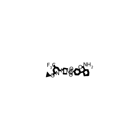 NC(=O)c1ccccc1-c1ccc(S(=O)(=O)N2CCN(c3cc(C(F)(F)F)cc(OC4CC4)n3)CC2)cc1